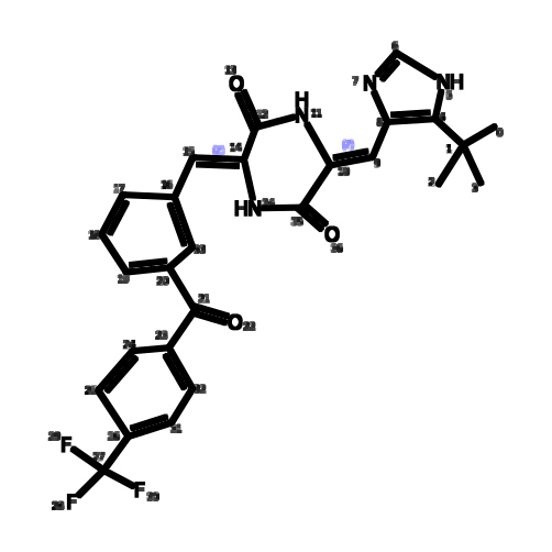 CC(C)(C)c1[nH]cnc1/C=c1\[nH]c(=O)/c(=C/c2cccc(C(=O)c3ccc(C(F)(F)F)cc3)c2)[nH]c1=O